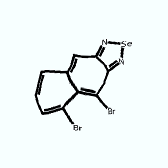 Brc1cccc2cc3n[se]nc3c(Br)c12